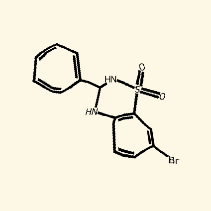 O=S1(=O)NC(c2ccccc2)Nc2ccc(Br)cc21